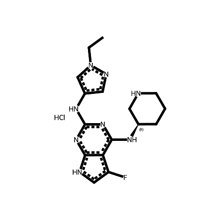 CCn1cc(Nc2nc(N[C@@H]3CCCNC3)c3c(F)c[nH]c3n2)cn1.Cl